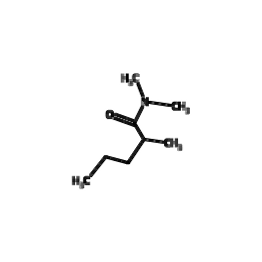 CCCC(C)C(=O)N(C)C